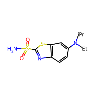 CCN(c1ccc2nc(S(N)(=O)=O)sc2c1)C(C)C